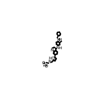 CS(=O)(=O)CCNCc1ccc(-c2ccc3c(Nc4ccc5c(cnn5Cc5ccccc5)c4)ccnc3c2)o1